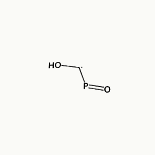 O=P[CH]O